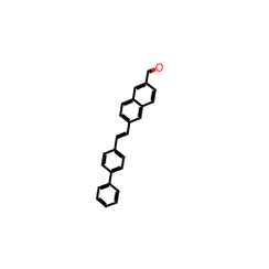 O=Cc1ccc2cc(/C=C/c3ccc(-c4ccccc4)cc3)ccc2c1